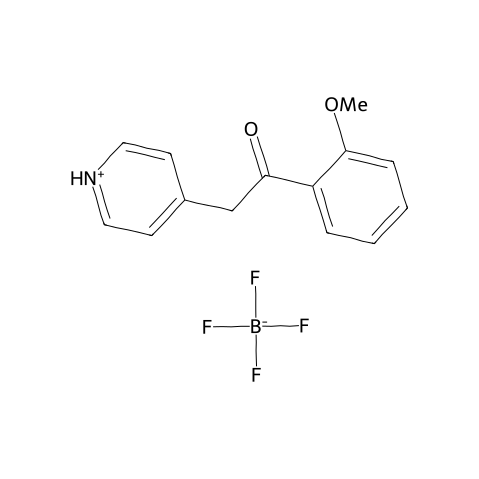 COc1ccccc1C(=O)Cc1cc[nH+]cc1.F[B-](F)(F)F